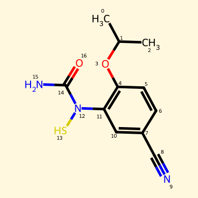 CC(C)Oc1ccc(C#N)cc1N(S)C(N)=O